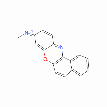 C/N=c1/ccc2nc3c(ccc4ccccc43)oc-2c1